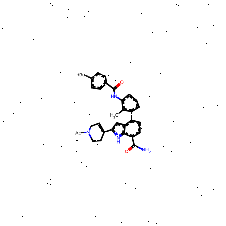 CC(=O)N1CC=C(c2cc3c(-c4cccc(NC(=O)c5ccc(C(C)(C)C)cc5)c4C)ccc(C(N)=O)c3[nH]2)CC1